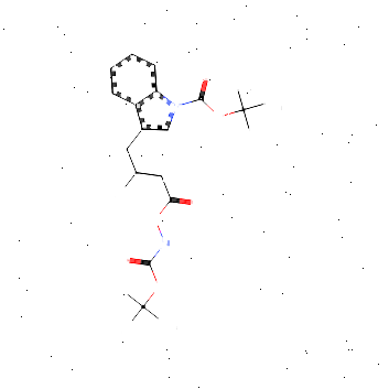 CC(CC(=O)ONC(=O)OC(C)(C)C)Cc1cn(C(=O)OC(C)(C)C)c2ccccc12